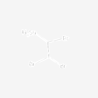 BrC(Br)[CH](Br)[SnH3]